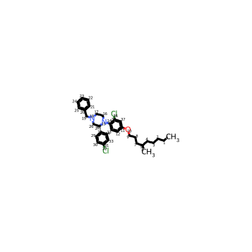 CCCCCC(C)CCCOc1ccc(N2CCN(Cc3ccccc3)C[C@H]2c2ccc(Cl)cc2)c(Cl)c1